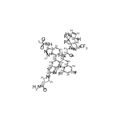 Cn1nc(NS(C)(=O)=O)c2cccc(-c3cc4sc(N5CC(C(N)=O)C5)nc4nc3[C@H](Cc3cc(F)cc(F)c3)NC(=O)Cn3nc(C(F)(F)F)c4c3C(F)(F)[C@@H]3C#C[C@H]43)c21